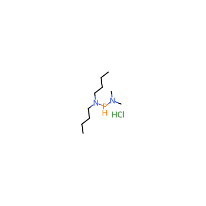 CCCCN(CCCC)PN(C)C.Cl